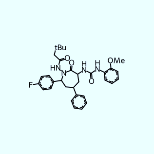 COc1ccccc1NC(=O)NC1CC(c2ccccc2)CC(c2ccc(F)cc2)N(NC(=O)CC(C)(C)C)C1=O